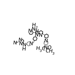 CC(=O)N(C)C1CCN(c2cccc(-c3ccc4nc(-c5cccnc5N)n(-c5ccc(CN6CCC(Nc7ccnc(C#N)n7)CC6)cc5)c4n3)c2)CC1